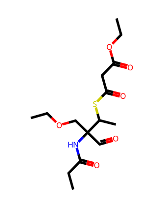 CCOCC(C=O)(NC(=O)CC)C(C)SC(=O)CC(=O)OCC